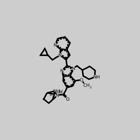 COc1cc(C(=O)N2CC3CCC2[C@@H]3N)cc2nc(-c3cc4cccnc4n3CC3CC3)n(CC3CCNCC3)c12